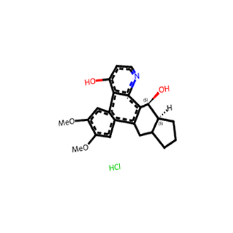 COc1cc2c3c(c4nccc(O)c4c2cc1OC)[C@@H](O)[C@H]1CCCC1C3.Cl